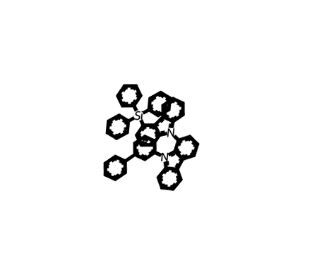 c1ccc(-c2cccc(-n3c4ccccc4c4cccc(-n5c6ccccc6c6c([Si](c7ccccc7)(c7ccccc7)c7ccccc7)cccc65)c43)c2)cc1